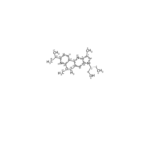 CC[C@H](CO)n1cc(C)c2nc(-c3ccc(C(C)C)nc3OC)c(C)cc21